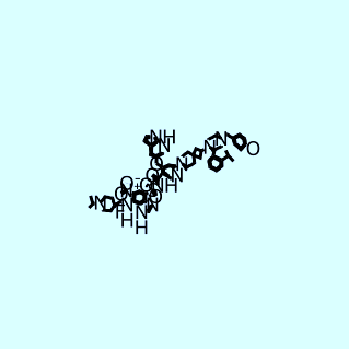 COc1ccc(CN2CCN(C3CC4(CCN(c5cc(Oc6cnc7[nH]ccc7c6)c(C(=O)NS(=O)(=O)c6cc([N+](=O)[O-])c(NCC7(F)CCN(C(C)C)CC7)c7[nH]cnc67)cn5)CC4)C3)C(c3ccccc3C(C)C)C2)cc1